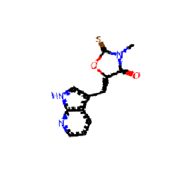 CN1C(=O)/C(=C/c2c[nH]c3ncccc23)OC1=S